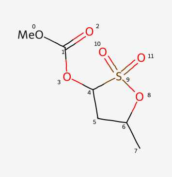 COC(=O)OC1CC(C)OS1(=O)=O